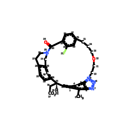 Cc1c2ccc3c1nnn3CCOCCCc1ccc(c(F)c1)C(=O)N1CCc3ccc(cc3C1)[C@@H]2CC(=O)O